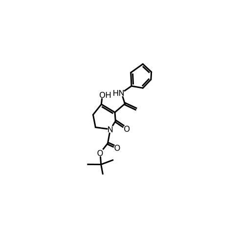 C=C(Nc1ccccc1)C1=C(O)CCN(C(=O)OC(C)(C)C)C1=O